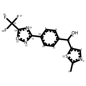 Cc1ncc(C(O)c2ccc(-c3noc(C(F)(F)F)n3)cc2)s1